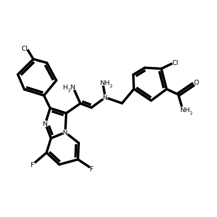 NC(=O)c1cc(CN(N)/C=C(\N)c2c(-c3ccc(Cl)cc3)nc3c(F)cc(F)cn23)ccc1Cl